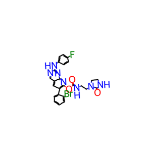 O=C(NCCN1CCNC1=O)Oc1nc2nc(Nc3ccc(F)cc3)ncc2cc1-c1ccccc1Br